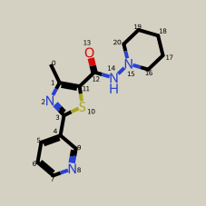 Cc1nc(-c2cccnc2)sc1C(=O)NN1CCCCC1